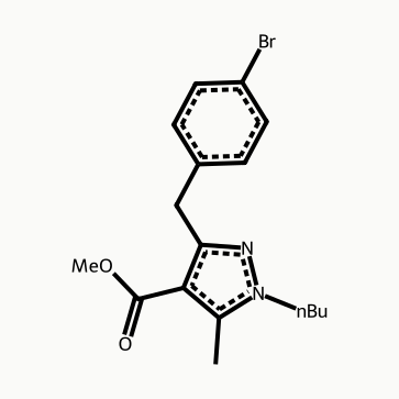 CCCCn1nc(Cc2ccc(Br)cc2)c(C(=O)OC)c1C